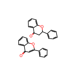 O=C1CC(c2ccccc2)Oc2ccccc21.O=c1cc(-c2ccccc2)oc2ccccc12